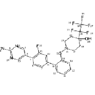 Nc1ncc(-c2ccc(-c3ccccc3SN3CCC(O)(C(F)(F)C(F)(F)F)CC3)cc2F)cn1